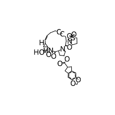 O=C(O[C@@H]1CC2C(=O)N[C@]3(C(=O)O)C[C@H]3/C=C\CCCCC[C@H](N3CCCS3(=O)=O)C(=O)N2C1)C1Cc2cc3c(cc2C1)OCO3